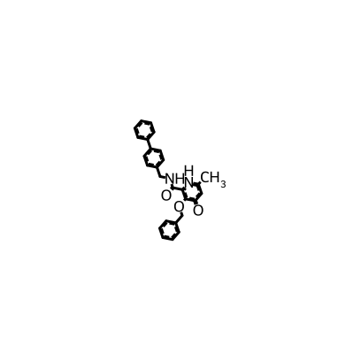 Cc1cc(=O)c(OCc2ccccc2)c(C(=O)NCc2ccc(-c3ccccc3)cc2)[nH]1